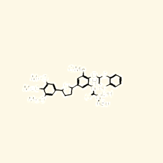 CCCCN(O)C(=O)Nc1cc(C2CCC(c3cc(OC)c(OC)c(OC)c3)O2)cc(OC)c1OC(C)Sc1ccccc1Br